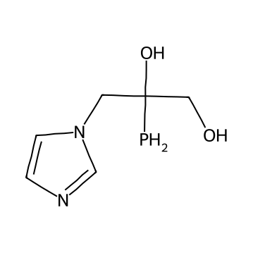 OCC(O)(P)Cn1ccnc1